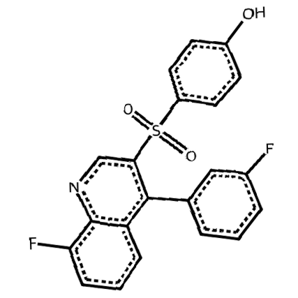 O=S(=O)(c1ccc(O)cc1)c1cnc2c(F)cccc2c1-c1cccc(F)c1